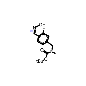 CN(Cc1ccc(/C=N\O)c(F)c1)C(=O)OC(C)(C)C